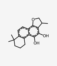 CC1COc2c1c(O)c(O)c1c3c(ccc21)C(C)(C)CCC3